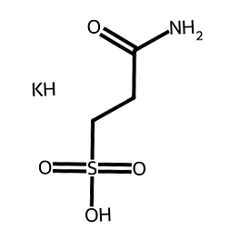 NC(=O)CCS(=O)(=O)O.[KH]